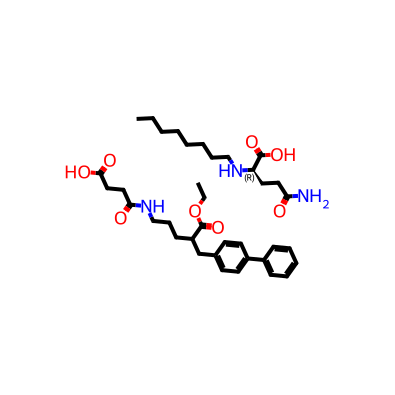 CCCCCCCCN[C@H](CCC(N)=O)C(=O)O.CCOC(=O)C(CCCNC(=O)CCC(=O)O)Cc1ccc(-c2ccccc2)cc1